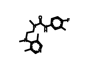 Cc1cc(NC(=O)N(C)CCN(C)c2c(C)cncc2C)ccc1F